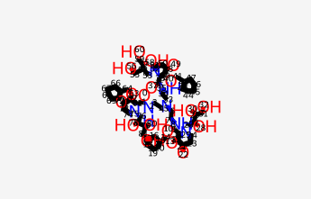 O=C(NCCN(CCNC(=O)c1c(OCc2ccccc2)c(=O)ccn1CC(O)C(O)CO)CCNC(=O)c1c(OCc2ccccc2)c(=O)ccn1CC(CO)C(O)CO)c1c(OCc2ccccc2)c(=O)ccn1CC(O)C(O)CO